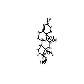 CC12CCC(=O)C=C1CCC1C2C(O)CC2(C)/C(=N/O)CCC12